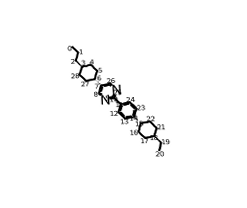 CCC[C@H]1CC[C@H](c2cnc(-c3ccc([C@H]4CC[C@H](CC)CC4)cc3)nc2)CC1